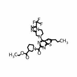 CCCc1cc2c(N3CCn4c(nnc4C(F)(F)F)C3)nc(C(=O)N3CCCC(C(=O)OCC)C3)nc2s1